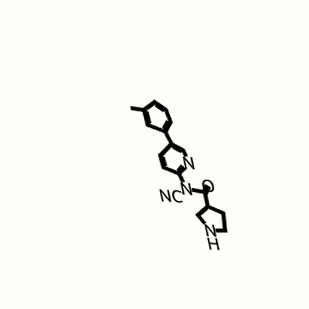 Cc1cccc(-c2ccc(N(C#N)C(=O)C3CCNC3)nc2)c1